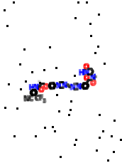 C[C@H](COc1ccc(N2CCN(CCN3CCN(c4cccc(CC(=O)N(C)C5CCC(=O)NC5=O)c4)CC3)CC2)cc1)C(=O)Nc1ccc(C#N)c(C(F)(F)F)c1